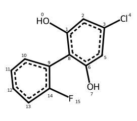 Oc1cc(Cl)cc(O)c1-c1ccccc1F